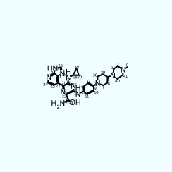 CN1CCN(C2CCN(c3ccc(Nc4nc(NC5CC5)c(-c5ccnc6[nH]cnc56)nc4C(N)O)cc3)CC2)CC1